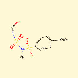 COc1ccc(S(=O)(=O)N(C)S(=O)(=O)N=C=O)cc1